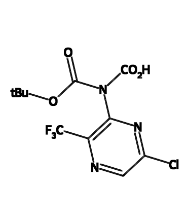 CC(C)(C)OC(=O)N(C(=O)O)c1nc(Cl)cnc1C(F)(F)F